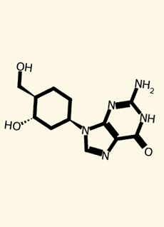 Nc1nc2c(ncn2[C@@H]2CC[C@H](CO)[C@@H](O)C2)c(=O)[nH]1